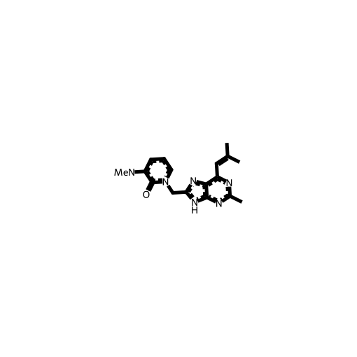 CNc1cccn(Cc2nc3c(C=C(C)C)nc(C)nc3[nH]2)c1=O